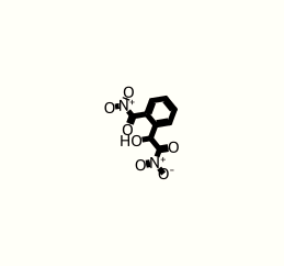 O=C(c1ccccc1C(O)C(=O)[N+](=O)[O-])[N+](=O)[O-]